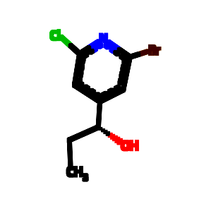 CC[C@@H](O)c1cc(Cl)nc(Br)c1